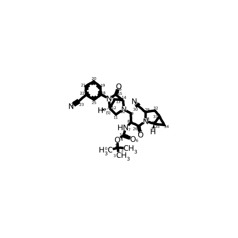 CC(C)(C)OC(=O)NC(CN1C[C@@H]2CC1C(=O)N2c1cccc(C#N)c1)C(=O)N1C(C#N)CC2C[C@@H]21